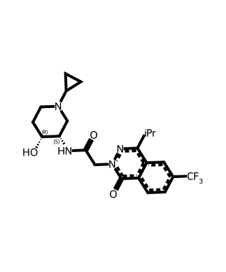 CC(C)c1nn(CC(=O)N[C@H]2CN(C3CC3)CC[C@H]2O)c(=O)c2ccc(C(F)(F)F)cc12